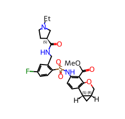 CCN1CC[C@H](C(=O)NCc2cc(F)ccc2S(=O)(=O)Nc2ccc3c(c2C(=O)OC)OC[C@@H]2C[C@H]32)C1